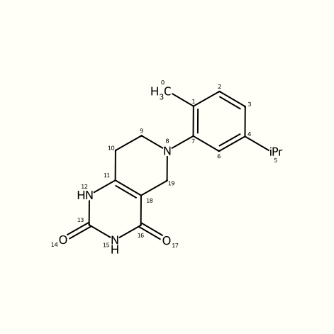 Cc1ccc(C(C)C)cc1N1CCc2[nH]c(=O)[nH]c(=O)c2C1